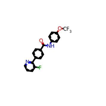 O=C(Nc1ccc(OC(F)(F)F)cc1)c1ccc(-c2ncccc2F)cc1